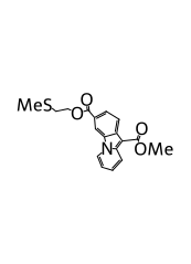 COC(=O)c1c2ccc(C(=O)OCCSC)cc2n2ccccc12